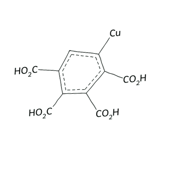 O=C(O)c1c[c]([Cu])c(C(=O)O)c(C(=O)O)c1C(=O)O